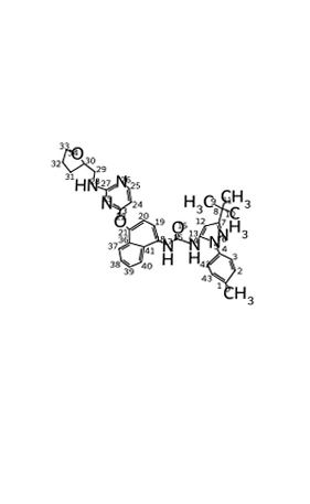 Cc1ccc(-n2nc(C(C)(C)C)cc2NC(=O)Nc2ccc(Oc3ccnc(NCC4CCCO4)n3)c3ccccc23)cc1